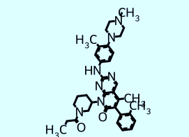 CCC(=O)N1CCCC(n2c(=O)c(-c3ccccc3C)c(C)c3cnc(Nc4ccc(N5CCN(C)CC5)c(C)c4)nc32)C1